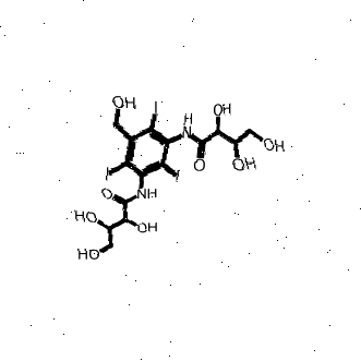 O=C(Nc1c(I)c(CO)c(I)c(NC(=O)C(O)C(O)CO)c1I)C(O)C(O)CO